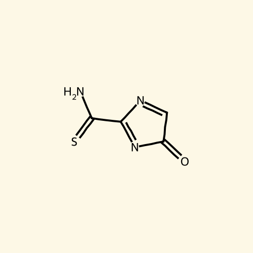 NC(=S)C1=NC(=O)C=N1